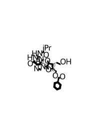 CC(=O)OC1[C@H](n2cnc3c(=O)[nH]c(NC(=O)C(C)C)nc32)O[C@H](COC(=O)c2ccccc2)[C@H]1CCO